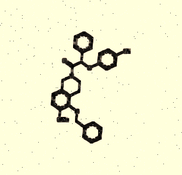 COc1ccc2c(c1OCc1ccccc1)CCN(C(=O)C(Oc1ccc(C#N)cc1)c1ccccc1)C2